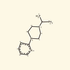 PC(P)N1CCN(c2ccccn2)CC1